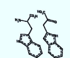 NC(Cc1c[nH]c2ccccc12)C(=O)O.O=C(O)C(=O)Cc1cc2ccccc2[nH]1